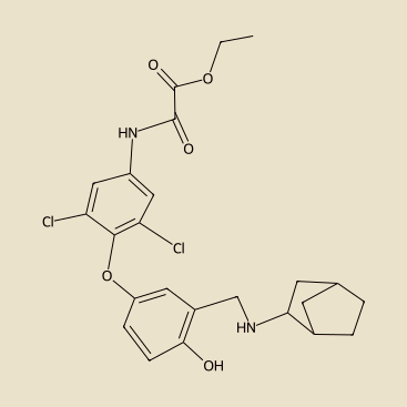 CCOC(=O)C(=O)Nc1cc(Cl)c(Oc2ccc(O)c(CNC3CC4CCC3C4)c2)c(Cl)c1